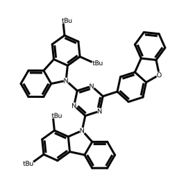 CC(C)(C)c1cc(C(C)(C)C)c2c(c1)c1ccccc1n2-c1nc(-c2ccc3oc4ccccc4c3c2)nc(-n2c3ccccc3c3cc(C(C)(C)C)cc(C(C)(C)C)c32)n1